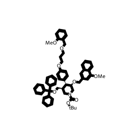 COc1ccccc1COCCCOc1ccc([C@H]2[C@H](COC(c3ccccc3)(c3ccccc3)c3ccccc3)CN(C(=O)OC(C)(C)C)C[C@@H]2OCc2cc(OC)c3ccccc3c2)cc1